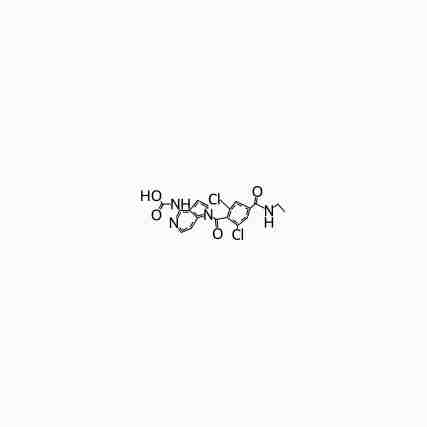 CCNC(=O)c1cc(Cl)c(C(=O)n2ccc3c(NC(=O)O)nccc32)c(Cl)c1